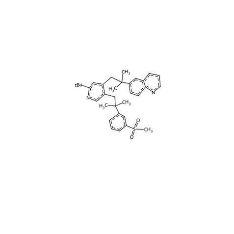 CC(C)(C)c1cc(CC(C)(C)c2ccc3ncccc3c2)c(CC(C)(C)c2cccc(S(C)(=O)=O)c2)cn1